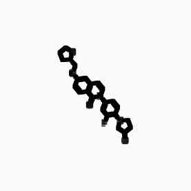 O=C1CCN(c2ccc(-n3ccc4cc(OC[C@H]5CCCO5)ccc4c3=O)cc2F)C1